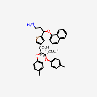 Cc1ccc(O[C@@H](C(=O)O)[C@@H](Oc2ccc(C)cc2)C(=O)O)cc1.NCCC(Oc1cccc2ccccc12)c1cccs1